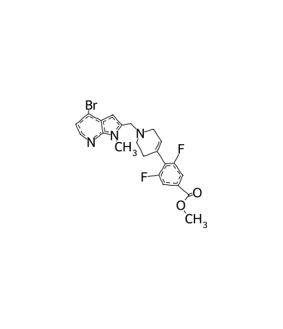 COC(=O)c1cc(F)c(C2=CCN(Cc3cc4c(Br)ccnc4n3C)CC2)c(F)c1